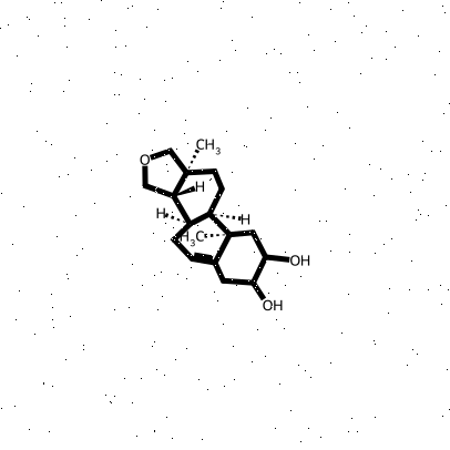 C[C@]12CC[C@@H]3[C@@H](CC=C4CC(O)C(O)C[C@@]43C)[C@@H]1COC2